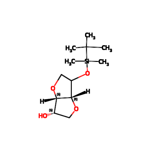 CC(C)(C)[Si](C)(C)OC1CO[C@H]2[C@@H](O)CO[C@@H]12